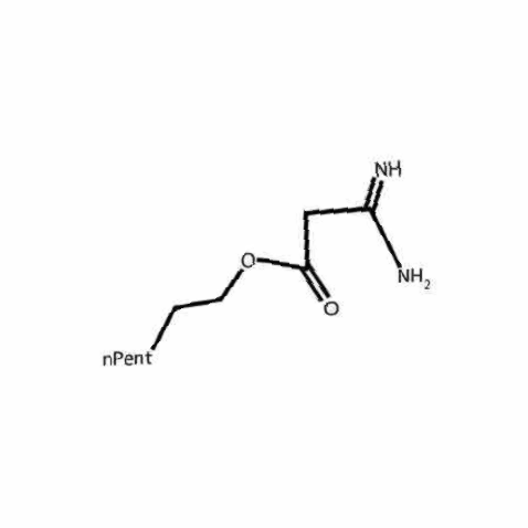 CCCCCCCOC(=O)CC(=N)N